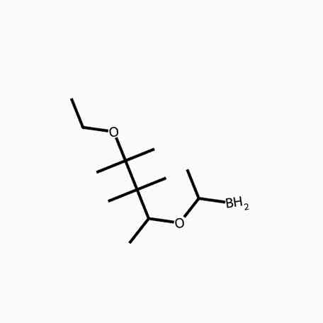 BC(C)OC(C)C(C)(C)C(C)(C)OCC